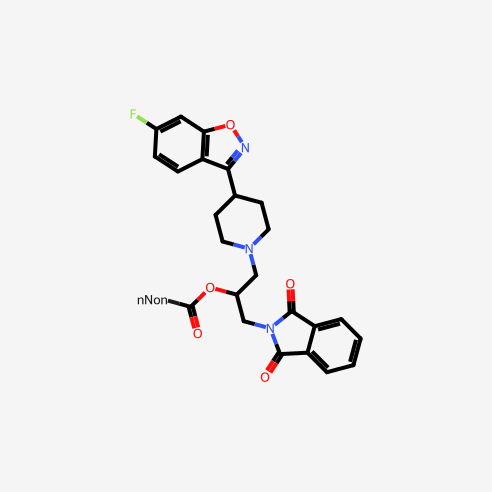 CCCCCCCCCC(=O)OC(CN1CCC(c2noc3cc(F)ccc23)CC1)CN1C(=O)c2ccccc2C1=O